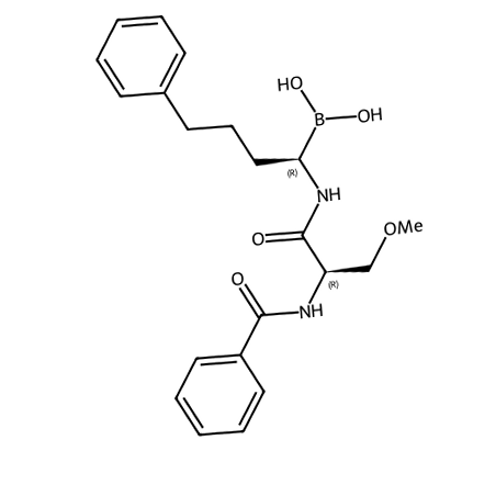 COC[C@@H](NC(=O)c1ccccc1)C(=O)N[C@@H](CCCc1ccccc1)B(O)O